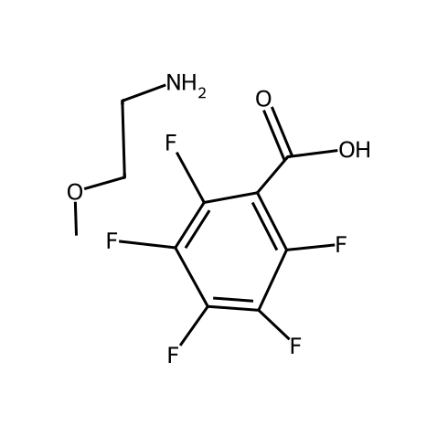 COCCN.O=C(O)c1c(F)c(F)c(F)c(F)c1F